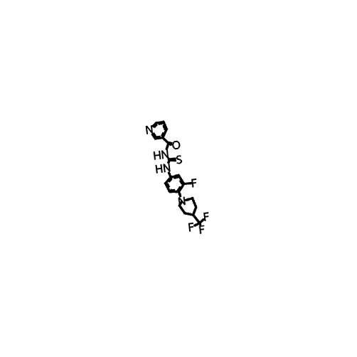 O=C(NC(=S)Nc1ccc(N2CCC(C(F)(F)F)CC2)c(F)c1)c1cccnc1